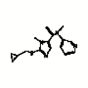 C=C(c1cnc(SCC2CC2)n1C)N(C)c1cccnc1